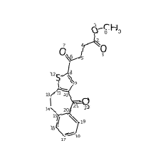 COC(=O)CCC(=O)c1cc2c(s1)CCc1ccccc1C2=O